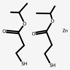 CC(C)OC(=O)CCS.CC(C)OC(=O)CCS.[Zn]